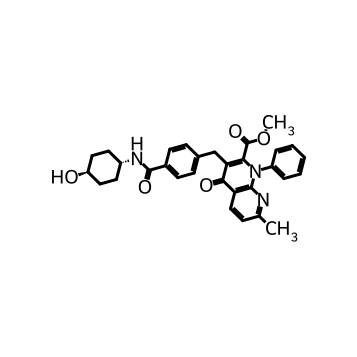 COC(=O)c1c(Cc2ccc(C(=O)N[C@H]3CC[C@H](O)CC3)cc2)c(=O)c2ccc(C)nc2n1-c1ccccc1